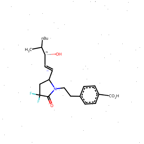 CCCCC(C)[C@H](O)/C=C/C1CC(F)(F)C(=O)N1CCc1ccc(C(=O)O)cc1